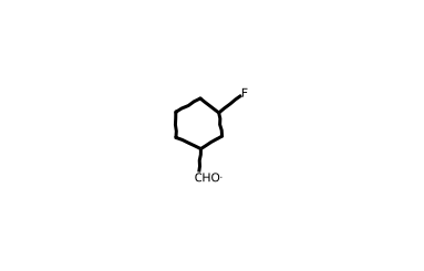 O=[C]C1CCCC(F)C1